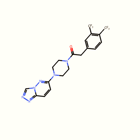 O=C(Cc1ccc(C(F)(F)F)c(C(F)(F)F)c1)N1CCN(c2ccc3nncn3n2)CC1